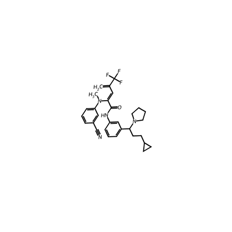 C=C(/C=C(/C(=O)Nc1cccc(C(CCC2CC2)N2CCCC2)c1)N(C)c1cccc(C#N)c1)C(F)(F)F